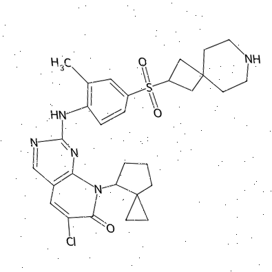 Cc1cc(S(=O)(=O)C2CC3(CCNCC3)C2)ccc1Nc1ncc2cc(Cl)c(=O)n(C3CCCC34CC4)c2n1